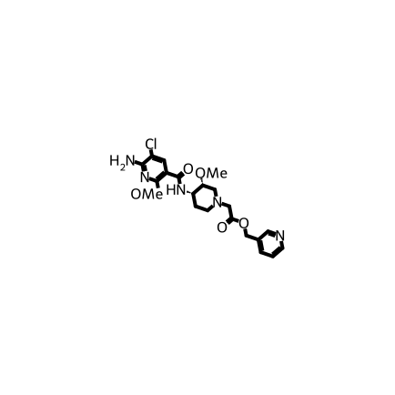 COc1nc(N)c(Cl)cc1C(=O)N[C@H]1CCN(CC(=O)OCc2cccnc2)C[C@H]1OC